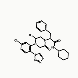 O=C(NC1CCCCC1)C(Cc1ccccc1)N1CC(O)N(c2cc(Cl)ccc2-n2cnnn2)CC1=O